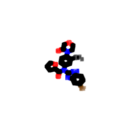 Cc1cc(N(C(=O)C2CCCO2)c2nc3cc(Br)ccc3[nH]2)ccc1N1CCOCC1=O